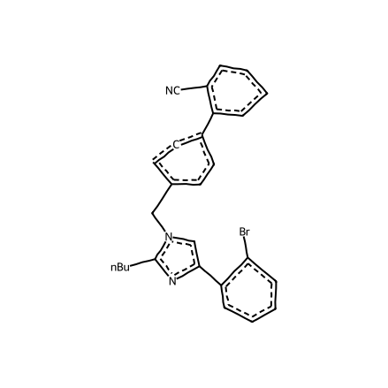 CCCCc1nc(-c2ccccc2Br)cn1Cc1ccc(-c2ccccc2C#N)cc1